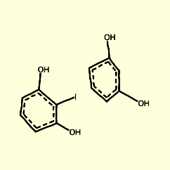 Oc1cccc(O)c1.Oc1cccc(O)c1I